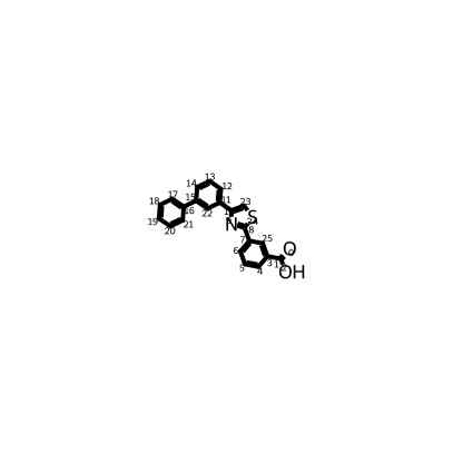 O=C(O)c1cccc(-c2nc(-c3cccc(-c4ccccc4)c3)cs2)c1